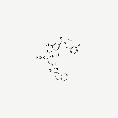 CN(Cc1cccc(Cl)c1)C(=O)c1cc(Cl)c(C(=O)NC(CNC(=O)N[C@@H]2CCc3ccccc32)C(=O)O)c(Cl)c1